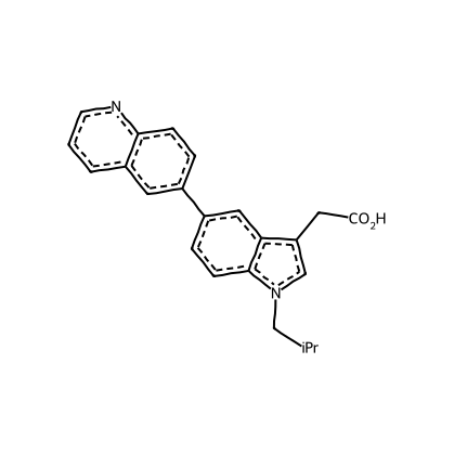 CC(C)Cn1cc(CC(=O)O)c2cc(-c3ccc4ncccc4c3)ccc21